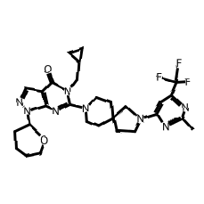 Cc1nc(N2CCC3(CCN(c4nc5c(cnn5C5CCCCO5)c(=O)n4CC4CC4)CC3)C2)cc(C(F)(F)F)n1